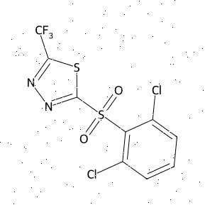 O=S(=O)(c1nnc(C(F)(F)F)s1)c1c(Cl)cccc1Cl